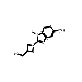 C[SH]1C(N2CC(CO)C2)=Nc2cc(C(=O)O)ccc21